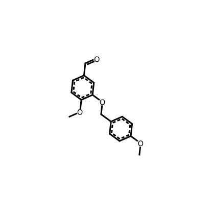 COc1ccc(COc2cc(C=O)ccc2OC)cc1